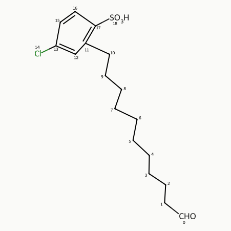 O=CCCCCCCCCCCc1cc(Cl)ccc1S(=O)(=O)O